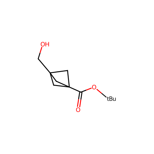 CC(C)(C)OC(=O)C12CC(CO)(C1)C2